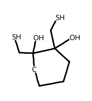 OC1(CS)CCCCC1(O)CS